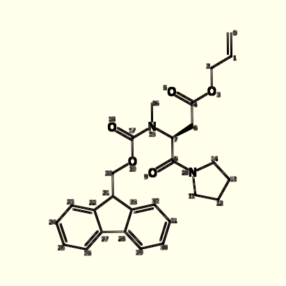 C=CCOC(=O)C[C@@H](C(=O)N1CCCC1)N(C)C(=O)OCC1c2ccccc2-c2ccccc21